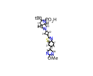 COc1ncc(-c2ccc3nc(C4CC(N5C[C@H]6CC(C(C)(C)C)N(C(=O)O)[C@H]6C5)C4)sc3c2)cn1